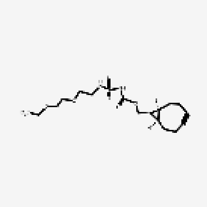 O=C(O)COCCOCCNS(=O)(=O)NC(=O)OC[C@@H]1[C@@H]2CCC#CCC[C@@H]21